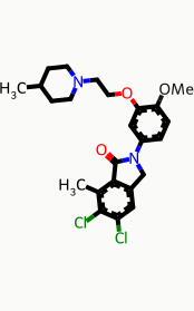 COc1ccc(N2Cc3cc(Cl)c(Cl)c(C)c3C2=O)cc1OCCN1CCC(C)CC1